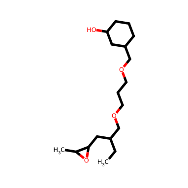 CCC(COCCCOCC1CCCC(O)C1)CC1OC1C